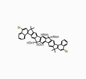 CCCCCCCCCC1(CCCCCCCCC)c2cc3c(cc2-c2cc4c(cc21)-c1cc2c(cc1C4(CCCCCCCC)CCCCCCCC)-c1c(cc(Br)c4ccccc14)C2(C)C)C(C)(C)c1cc(Br)c2ccccc2c1-3